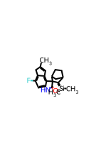 CC1=Cc2c(C3(C([NH])=O)C(=[Si](C)C)C4CCC3C4)ccc(F)c2C1